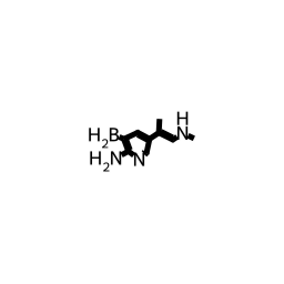 Bc1cc(/C(C)=C/NC)cnc1N